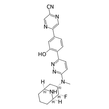 CN(c1ccc(-c2ccc(-c3cnc(C#N)cn3)cc2O)nn1)[C@H]1C[C@@H]2CCC[C@@H](N2)[C@H]1F